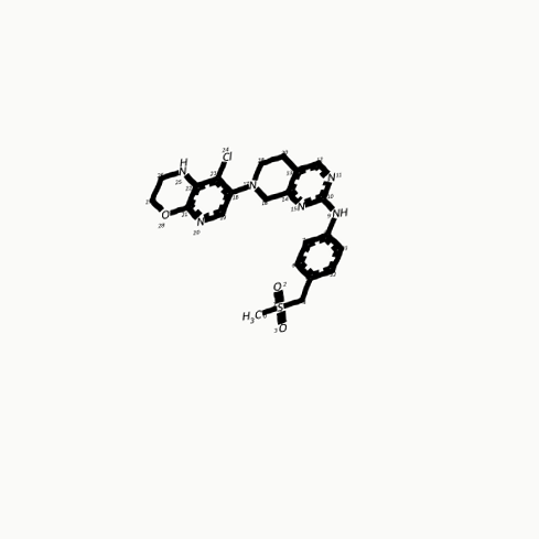 CS(=O)(=O)Cc1ccc(Nc2ncc3c(n2)CN(c2cnc4c(c2Cl)NCCO4)CC3)cc1